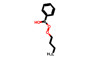 CCCCOOB(O)c1ccccc1